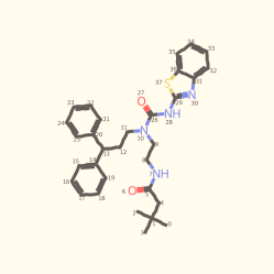 CC(C)(C)CC(=O)NCCN(CCC(c1ccccc1)c1ccccc1)C(=O)Nc1nc2ccccc2s1